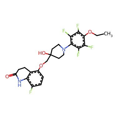 CCOc1c(F)c(F)c(N2CCC(O)(COc3ccc(F)c4c3CCC(=O)N4)CC2)c(F)c1F